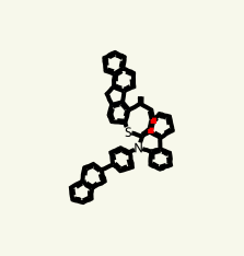 C=C1/C=C\C=C(\N(c2ccc(-c3ccc4ccccc4c3)cc2)c2ccccc2-c2ccccc2)Sc2ccc3c(c21)-c1ccc2ccccc2c1C3